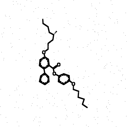 CCCCCCOc1ccc(OC(=O)c2cc(OCCC[C@@H](C)CCCC)ccc2-c2ccccc2)cc1